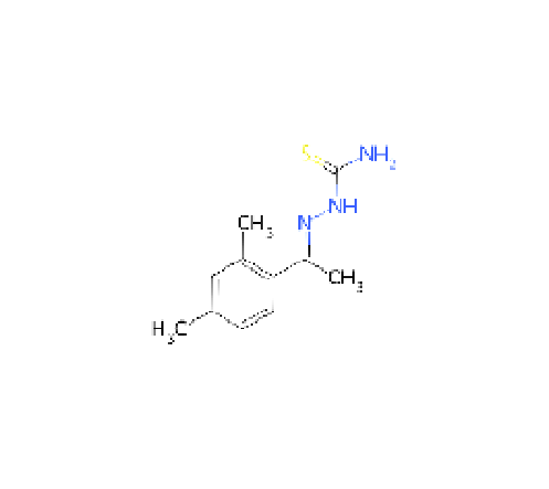 CC(=NNC(N)=S)c1ccc(C)cc1C